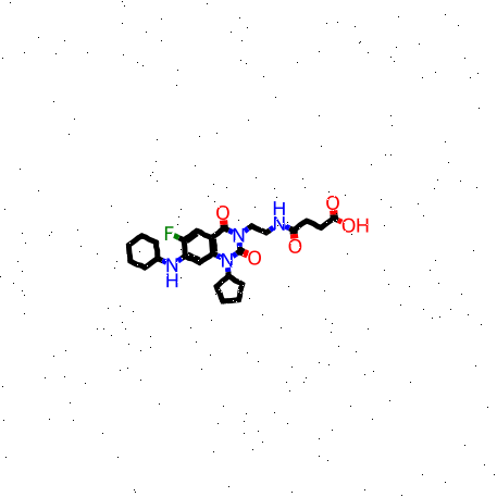 O=C(O)CCC(=O)NCCn1c(=O)c2cc(F)c(NC3CCCCC3)cc2n(C2CCCC2)c1=O